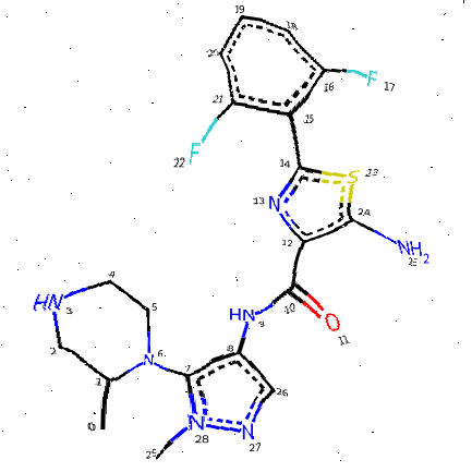 CC1CNCCN1c1c(NC(=O)c2nc(-c3c(F)cccc3F)sc2N)cnn1C